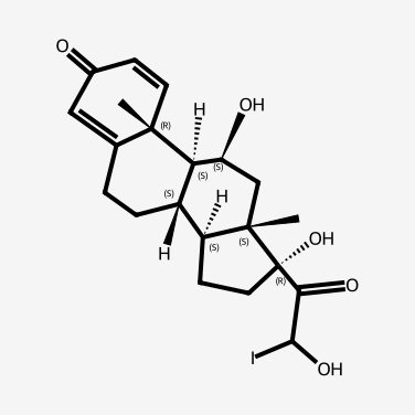 C[C@]12C=CC(=O)C=C1CC[C@@H]1[C@@H]2[C@@H](O)C[C@@]2(C)[C@H]1CC[C@]2(O)C(=O)C(O)I